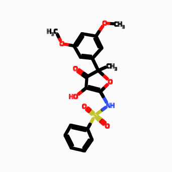 COc1cc(OC)cc(C2(C)OC(NS(=O)(=O)c3ccccc3)=C(O)C2=O)c1